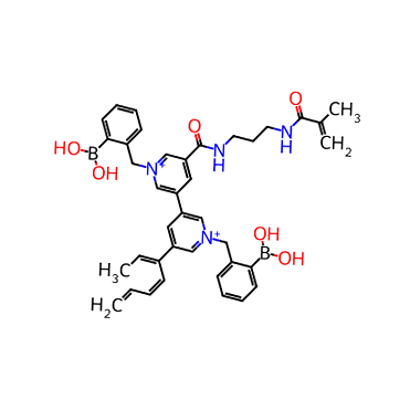 C=C/C=C\C(=C/C)c1cc(-c2cc(C(=O)NCCCNC(=O)C(=C)C)c[n+](Cc3ccccc3B(O)O)c2)c[n+](Cc2ccccc2B(O)O)c1